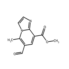 COC(=O)c1cc(C=O)c(C)n2ccnc12